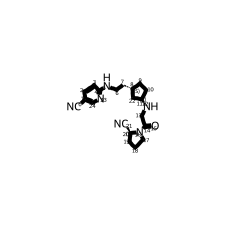 N#Cc1ccc(NCC[C@@H]2CC[C@@H](NCC(=O)N3CCC[C@H]3C#N)C2)nc1